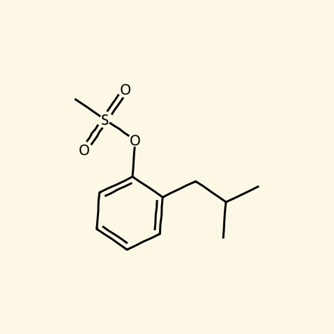 CC(C)Cc1ccccc1OS(C)(=O)=O